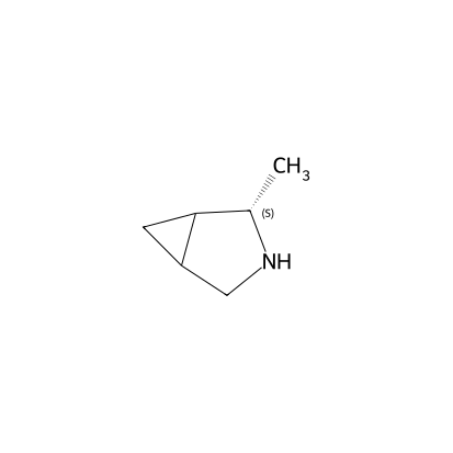 C[C@@H]1NCC2CC21